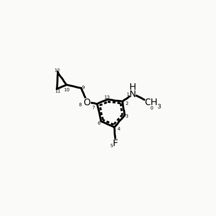 CNc1cc(F)cc(OCC2CC2)c1